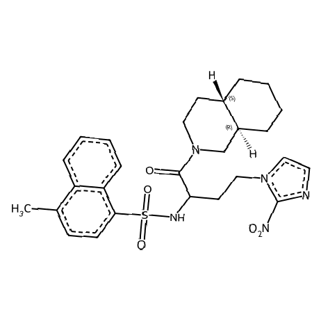 Cc1ccc(S(=O)(=O)NC(CCn2ccnc2[N+](=O)[O-])C(=O)N2CC[C@@H]3CCCC[C@H]3C2)c2ccccc12